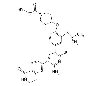 CN(C)Cc1cc(-c2cc(-c3ccc4c(c3)CCNC4=O)c(N)nc2F)ccc1OC1CCN(C(=O)OC(C)(C)C)CC1